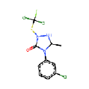 CC1NN(SC(F)(Cl)Cl)C(=O)N1c1cccc(Cl)c1